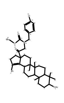 CC(=O)OC1CCC2(C)C(CCC3(C)C2CCC2C4=C(C(C)C)CCC4(C(=O)CN(Cc4ccc(Cl)cc4)C(=O)OC(C)(C)C)CCC23C)C1(C)C